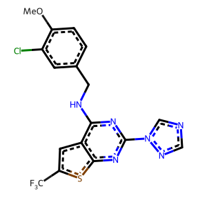 COc1ccc(CNc2nc(-n3cncn3)nc3sc(C(F)(F)F)cc23)cc1Cl